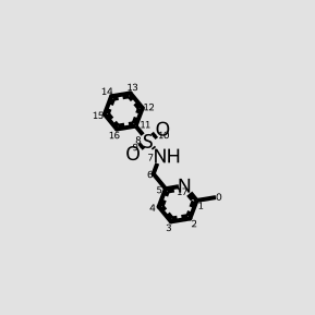 Cc1cccc(CNS(=O)(=O)c2ccccc2)n1